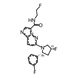 O=C(NCCF)c1cnc2ccc(N3C[C@@H](F)C[C@@H]3c3cccc(F)c3)nn12